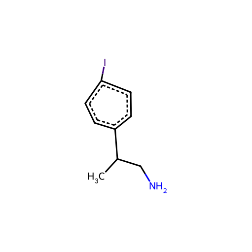 CC(CN)c1ccc(I)cc1